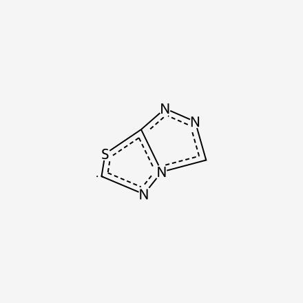 [c]1nn2cnnc2s1